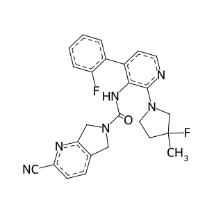 CC1(F)CCN(c2nccc(-c3ccccc3F)c2NC(=O)N2Cc3ccc(C#N)nc3C2)C1